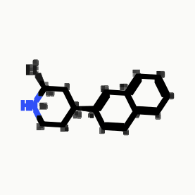 CC[C@H]1C[C@@H](c2ccc3ccccc3c2)CCN1